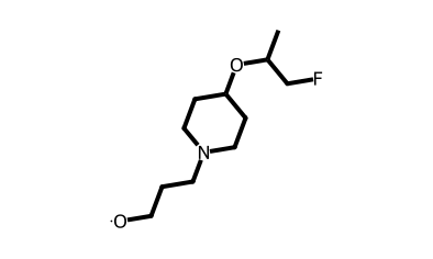 CC(CF)OC1CCN(CCC[O])CC1